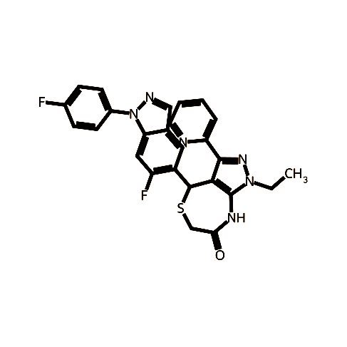 CCn1nc(-c2ccccn2)c2c1NC(=O)CSC2c1cc2cnn(-c3ccc(F)cc3)c2cc1F